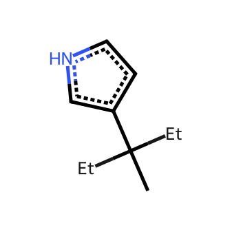 CCC(C)(CC)c1cc[nH]c1